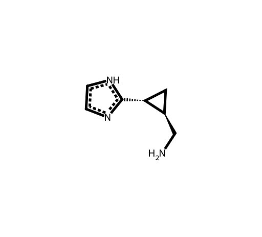 NC[C@@H]1C[C@H]1c1ncc[nH]1